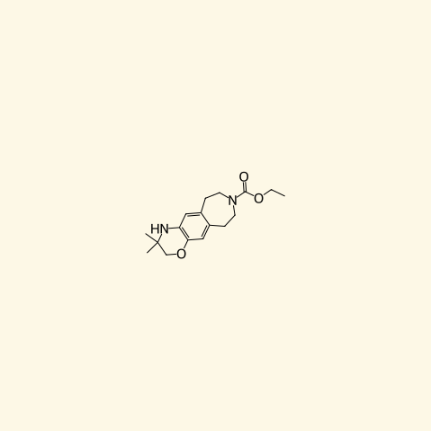 CCOC(=O)N1CCc2cc3c(cc2CC1)OCC(C)(C)N3